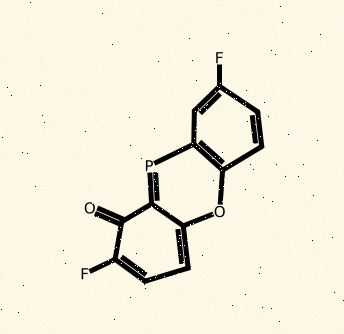 O=c1c(F)ccc2oc3ccc(F)cc3pc1-2